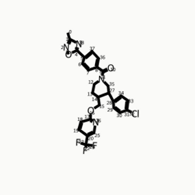 Cc1noc(-c2ccc(C(=O)N3CCC(COc4ccc(C(F)(F)F)cn4)C(c4ccc(Cl)cc4)C3)cc2)n1